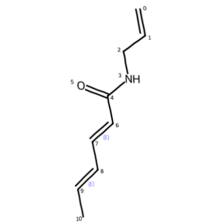 C=CCNC(=O)/C=C/C=C/C